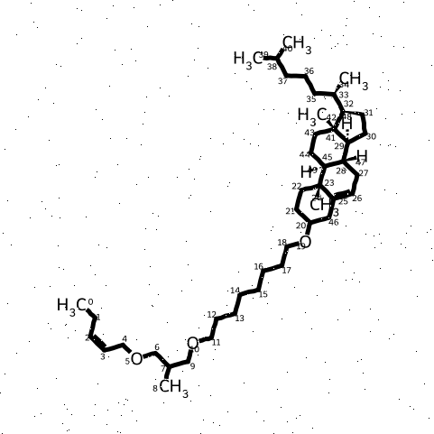 CC/C=C\COCC(C)COCCCCCCCCOC1CC[C@@]2(C)C(=CC[C@H]3[C@@H]4CC[C@H]([C@H](C)CCCC(C)C)[C@@]4(C)CC[C@@H]32)C1